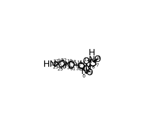 Cn1c(=O)n(C2CCC(=O)NC2=O)c2ccc(C3CCN(C4CCC5(CC4)CNC5)CC3)cc21